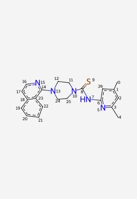 Cc1cc(C)nc(NC(=S)N2CCN(c3nccc4ccccc34)CC2)c1